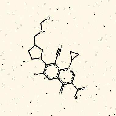 CCNCC1CCN(c2c(F)cc3c(=O)c(C(=O)O)cn(C4CC4)c3c2C#N)C1